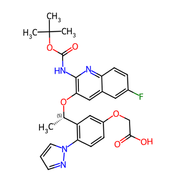 C[C@H](Oc1cc2cc(F)ccc2nc1NC(=O)OC(C)(C)C)c1cc(OCC(=O)O)ccc1-n1cccn1